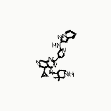 CN(c1nc(-c2ccnc(Nc3cc4ccccn4n3)c2)nc2cncc(C3CC3)c12)C1CCNCC1(C)C